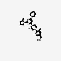 Cc1cc(CO)cnc1N1CCN(c2cc(N3CCCCC3)nc(N3CCCC3C)n2)[C@H](C)C1